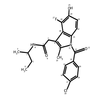 CCC(C)NC(=O)Cc1c(C)n(C(=O)c2ccc(Cl)cc2)c2ccc(O)c(F)c12